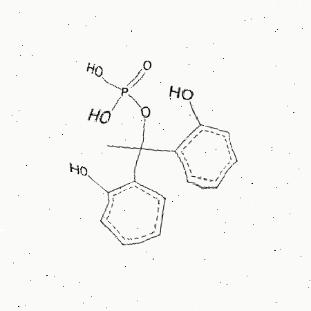 CC(OP(=O)(O)O)(c1ccccc1O)c1ccccc1O